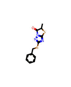 CC1Sc2nc(SCc3ccccc3)nn2C1=O